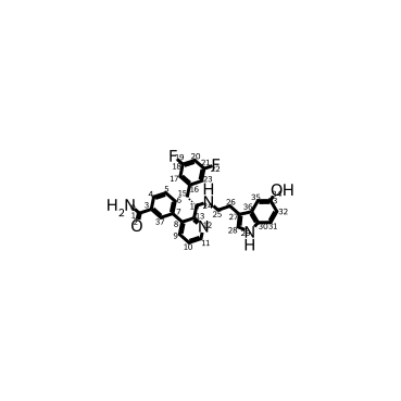 NC(=O)c1cccc(-c2cccnc2[C@H](Cc2cc(F)cc(F)c2)NCCc2c[nH]c3ccc(O)cc23)c1